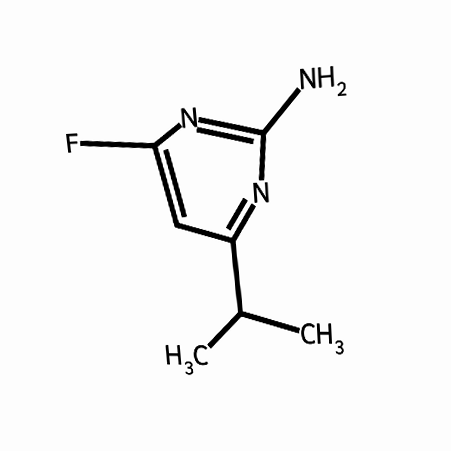 CC(C)c1cc(F)nc(N)n1